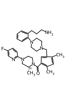 Cc1cc(C)c(C(=O)N2CCN(c3ccc(F)cn3)C[C@H]2C)cc1CN1CCN(c2ccccc2CCCN)CC1